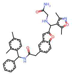 Cc1ccc(C(NC(=O)Cc2ccc3oc(C(NCC(N)=O)c4c(C)noc4C)cc3c2)c2ccccc2)c(C)c1